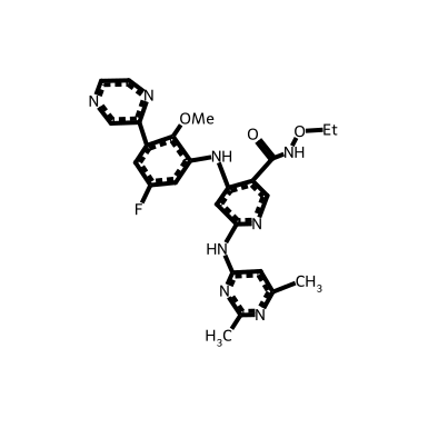 CCONC(=O)c1cnc(Nc2cc(C)nc(C)n2)cc1Nc1cc(F)cc(-c2cnccn2)c1OC